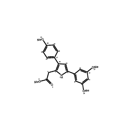 COC(=O)Cc1[nH]c(-c2cc(OC)cc(OC)c2)cc1-c1ccc(OC)cc1